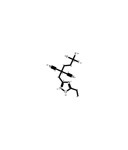 CCc1nc(CC(C#N)(C#N)CCC(F)(F)F)no1